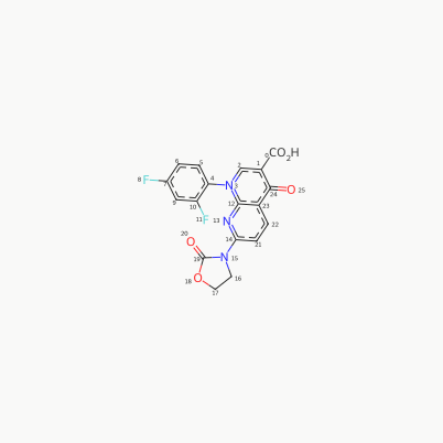 O=C(O)c1cn(-c2ccc(F)cc2F)c2nc(N3CCOC3=O)ccc2c1=O